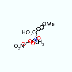 COc1ccc2cc([C@H](CCC(=O)N(C)CC(=O)OCCCO[N+](=O)[O-])C(=O)O)ccc2c1